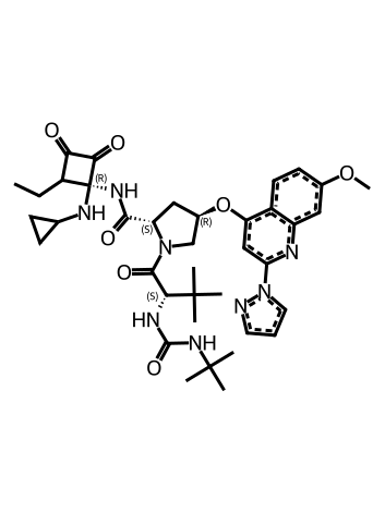 CCC1C(=O)C(=O)[C@@]1(NC(=O)[C@@H]1C[C@@H](Oc2cc(-n3cccn3)nc3cc(OC)ccc23)CN1C(=O)[C@@H](NC(=O)NC(C)(C)C)C(C)(C)C)NC1CC1